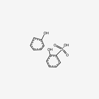 O=S(=O)(O)c1ccccc1O.Oc1ccccc1